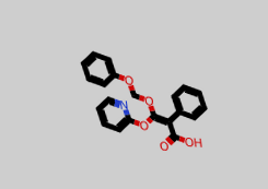 O=C(O)C(=C(OCOc1ccccc1)Oc1ccccn1)c1ccccc1